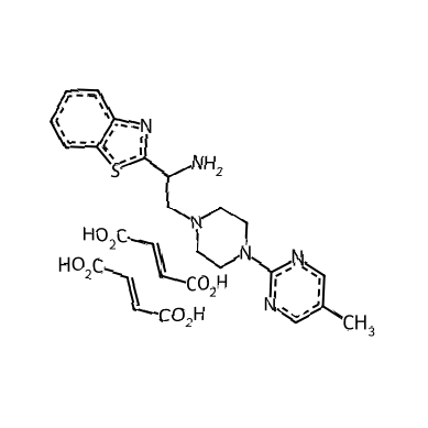 Cc1cnc(N2CCN(CC(N)c3nc4ccccc4s3)CC2)nc1.O=C(O)/C=C/C(=O)O.O=C(O)/C=C/C(=O)O